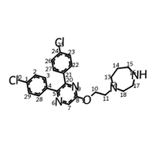 Clc1ccc(-c2ncc(OCCN3CCCNCC3)nc2-c2ccc(Cl)cc2)cc1